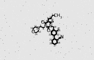 CCc1cc2c(=O)n(CCN3CCOCC3)c(=O)n(Cc3ccc(-c4ccccc4C#N)cc3F)c2s1